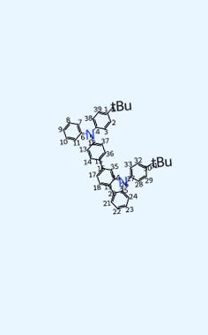 CC(C)(C)c1ccc(N(c2ccccc2)c2ccc(-c3ccc4c5ccccc5n(-c5ccc(C(C)(C)C)cc5)c4c3)cc2)cc1